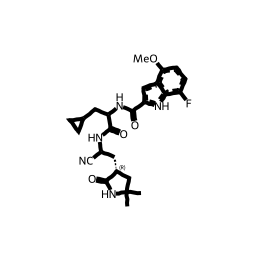 COc1ccc(F)c2[nH]c(C(=O)NC(CC3CC3)C(=O)NC(C#N)C[C@@H]3CC(C)(C)NC3=O)cc12